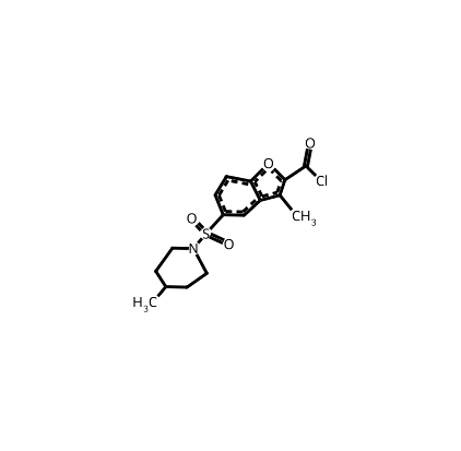 Cc1c(C(=O)Cl)oc2ccc(S(=O)(=O)N3CCC(C)CC3)cc12